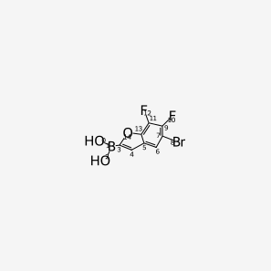 OB(O)c1cc2cc(Br)c(F)c(F)c2o1